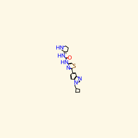 O=C(Nc1csc(-c2ccc3c(c2)ncn3CC2CCC2)n1)N[C@H]1CCCNC1